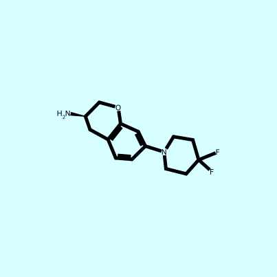 N[C@H]1COc2cc(N3CCC(F)(F)CC3)ccc2C1